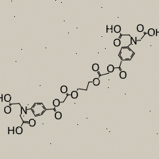 O=C(O)CN(CC(=O)O)c1ccc(C(=O)OCC(=O)OCCCOC(=O)COC(=O)c2ccc(N(CC(=O)O)CC(=O)O)cc2)cc1